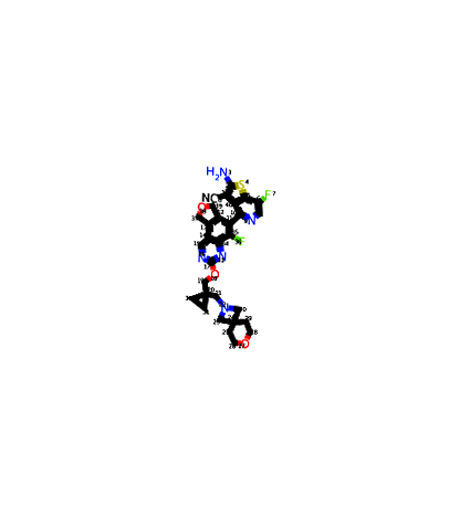 N#Cc1c(N)sc2c(F)cnc(-c3c4c(c5cnc(OCC6(CN7CC8(CCOCC8)C7)CC6)nc5c3F)COC4)c12